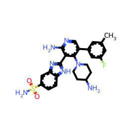 Cc1cc(F)cc(-c2cnc(N)c(-c3nc4cc(S(N)(=O)=O)ccc4[nH]3)c2N2CCC(N)CC2)c1